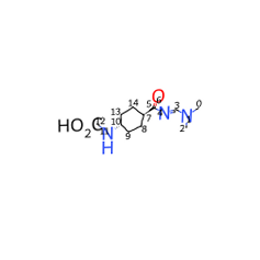 CN(C)C=NC(=O)[C@H]1CC[C@H](NC(=O)O)CC1